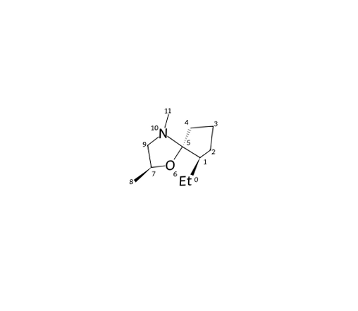 CC[C@@H]1CCC[C@@]12O[C@@H](C)CN2C